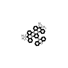 CC1(C)c2ccccc2N2c3cc(N4c5ccccc5Oc5ccccc54)cc4c3B(c3cccc1c32)c1cccc2c1N4c1ccccc1C2(C)C